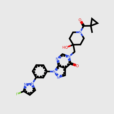 CC1(C(=O)N2CCC(O)(Cn3cnc4c(cnn4-c4cccc(-n5ccc(F)n5)c4)c3=O)CC2)CC1